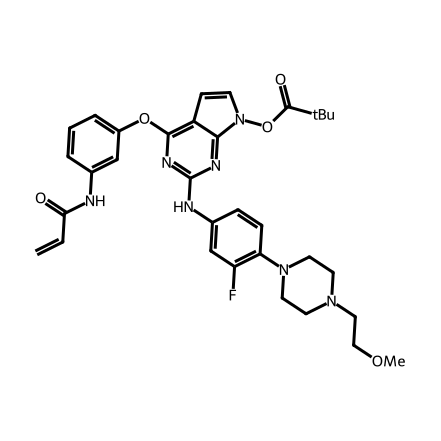 C=CC(=O)Nc1cccc(Oc2nc(Nc3ccc(N4CCN(CCOC)CC4)c(F)c3)nc3c2ccn3OC(=O)C(C)(C)C)c1